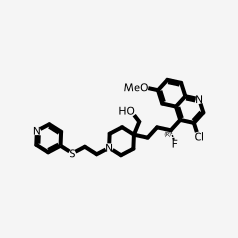 COc1ccc2ncc(Cl)c([C@H](F)CCC3(CO)CCN(CCSc4ccncc4)CC3)c2c1